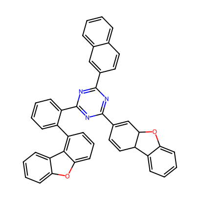 C1=CC2c3ccccc3OC2C=C1c1nc(-c2ccc3ccccc3c2)nc(-c2ccccc2-c2cccc3oc4ccccc4c23)n1